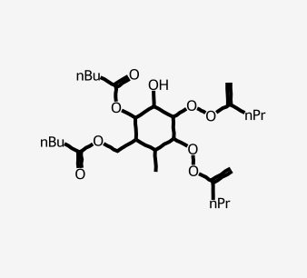 C=C(CCC)OOC1C(C)C(COC(=O)CCCC)C(OC(=O)CCCC)C(O)C1OOC(=C)CCC